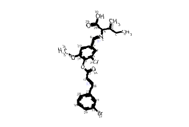 CCC(C)C(/N=C/c1cc(Cl)c(OC(=O)/C=C/c2cccc(Br)c2)c(OC)c1)C(=O)O